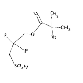 CCC(C)(C)C(=O)OCC(F)(F)CS(=O)(=O)O